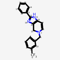 FC(F)(F)c1cccc(CN2C=Cc3[nH]c(-c4ccccc4)nc3C2)c1